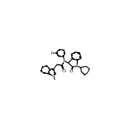 Cn1cc(CC(=O)N(c2cccc(F)c2)C2C(=O)N(C3CCCCC3)c3ccccc32)c2ccccc21